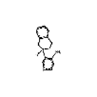 Nc1ccncc1[N+]1([O-])CCc2ccccc2C1